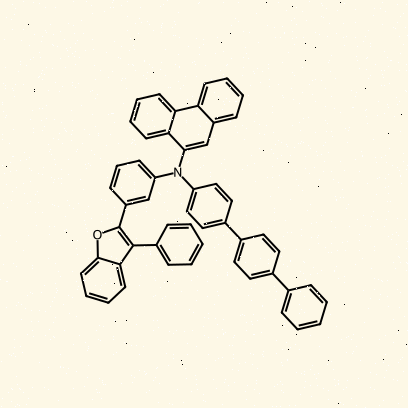 c1ccc(-c2ccc(-c3ccc(N(c4cccc(-c5oc6ccccc6c5-c5ccccc5)c4)c4cc5ccccc5c5ccccc45)cc3)cc2)cc1